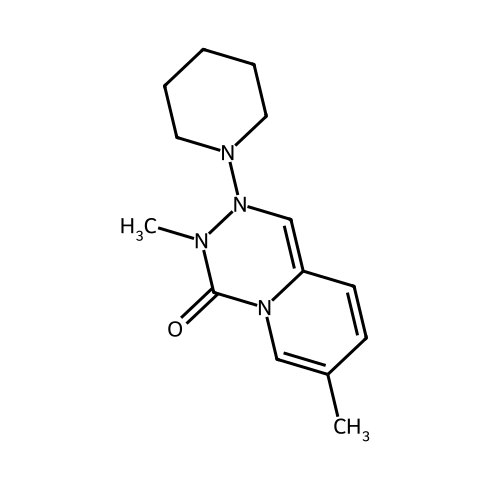 CC1=CN2C(=O)N(C)N(N3CCCCC3)C=C2C=C1